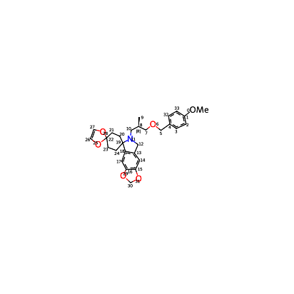 COc1ccc(COC[C@H](C)CN2Cc3cc4c(cc3C23CCC2(CC3)OC=CO2)OCO4)cc1